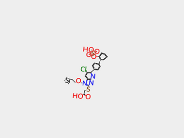 C[Si](C)(C)CCOCn1c(SCC(=O)O)nc2nc(-c3ccc(-c4ccccc4OS(=O)(=O)O)cc3)c(Cl)cc21